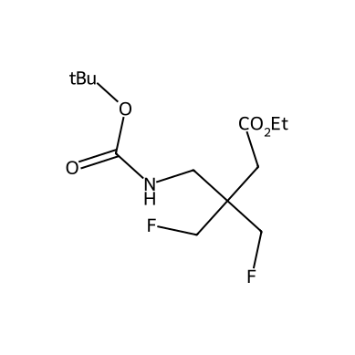 CCOC(=O)CC(CF)(CF)CNC(=O)OC(C)(C)C